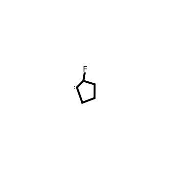 FC1[C]CCC1